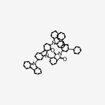 O=C1c2cccc(-n3c4cc(-n5c6ccccc6c6ccccc65)ccc4c4ccc(-n5c6ccccc6c6ccccc65)cc43)c2C(=O)N1c1cc(-c2ccccc2)cc(-c2ccccc2)c1